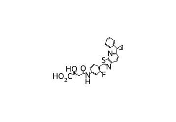 O=C(C[C@@H](O)C(=O)O)Nc1ccc(-c2nc3ccc(C4(c5ccccc5)C=C4)nc3s2)c(F)c1